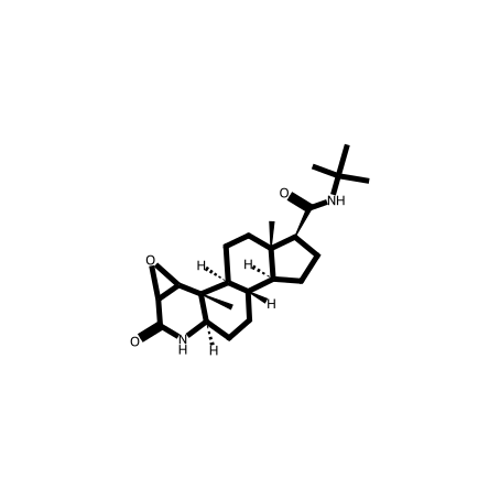 CC(C)(C)NC(=O)[C@H]1CC[C@H]2[C@@H]3CC[C@H]4NC(=O)C5OC5[C@]4(C)[C@H]3CC[C@]12C